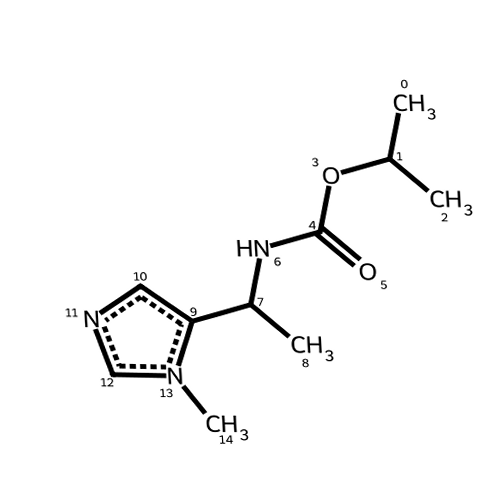 CC(C)OC(=O)NC(C)c1cncn1C